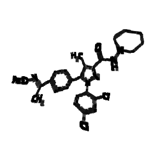 CC(=O)O/N=C(\C)c1ccc(-c2c(C)c(C(=O)NN3CCCCC3)nn2-c2ccc(Cl)cc2Cl)cc1